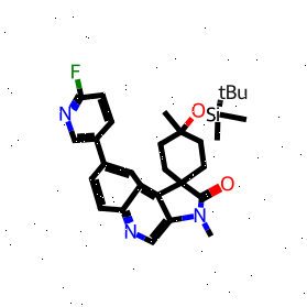 CN1C(=O)C2(CCC(C)(O[Si](C)(C)C(C)(C)C)CC2)c2c1cnc1ccc(-c3ccc(F)nc3)cc21